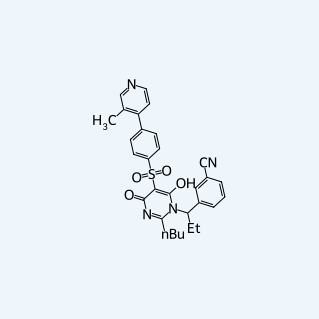 CCCCc1nc(=O)c(S(=O)(=O)c2ccc(-c3ccncc3C)cc2)c(O)n1C(CC)c1cccc(C#N)c1